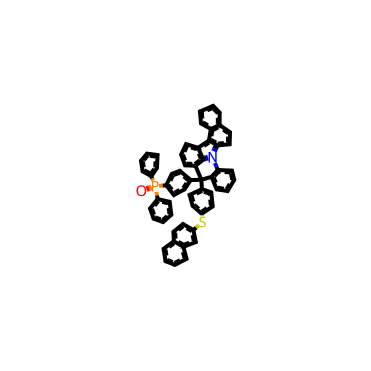 O=P(c1ccccc1)(c1ccccc1)c1ccc(C2(c3ccc(Sc4ccc5ccccc5c4)cc3)c3ccccc3-n3c4ccc5ccccc5c4c4cccc2c43)cc1